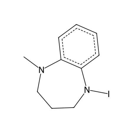 CN1CCCN(I)c2ccccc21